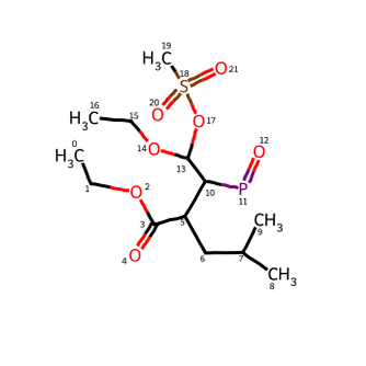 CCOC(=O)C(CC(C)C)C(P=O)C(OCC)OS(C)(=O)=O